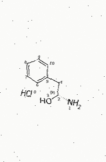 Cl.N[C@H](O)Cc1ccccc1